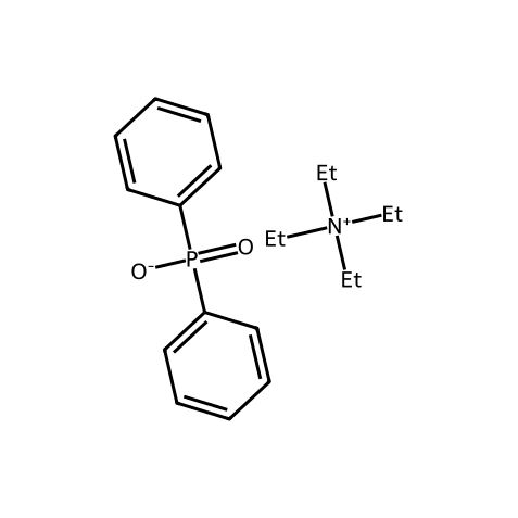 CC[N+](CC)(CC)CC.O=P([O-])(c1ccccc1)c1ccccc1